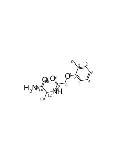 Cc1ccccc1OCC(=O)NC(C)C(N)=O